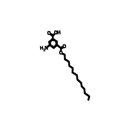 CCCCCCCCCCCCCCOC(=O)c1cc(N)cc(C(=O)O)c1